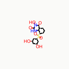 O=c1[nH]c2c(S(=O)(=O)c3cc(O)cc(O)c3)cccc2c(=O)n1O